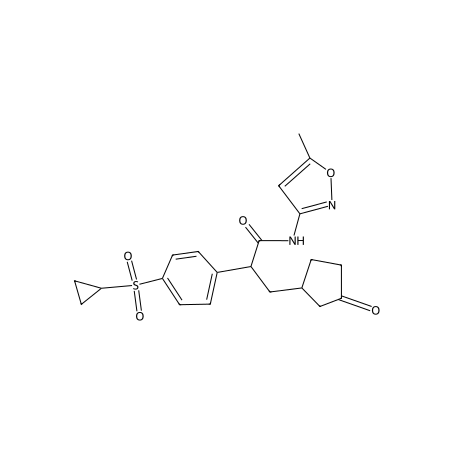 Cc1cc(NC(=O)C(CC2CCC(=O)C2)c2ccc(S(=O)(=O)C3CC3)cc2)no1